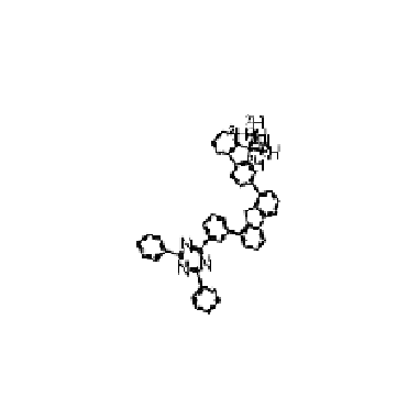 [2H]C([2H])([2H])C1(C([2H])([2H])[2H])c2ccccc2-c2ccc(-c3cccc4c3Cc3c(-c5cccc(-c6nc(-c7ccccc7)nc(-c7ccccc7)n6)c5)cccc3-4)cc21